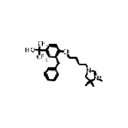 C[N+]1=CN(CCCCOc2ccc(C(O)(C(F)(F)F)C(F)(F)F)cc2Cc2ccccc2)CC1(C)C